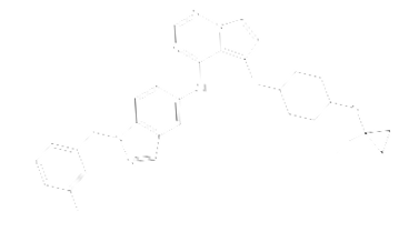 O=C(O)C1(NC2CCC(Oc3ccn4ncnc(Nc5ccc6c(cnn6Cc6cccc(F)c6)c5)c34)CC2)CC1